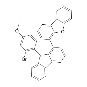 COc1ccc(-n2c3ccccc3c3cccc(-c4cccc5c4oc4ccccc45)c32)c(Br)c1